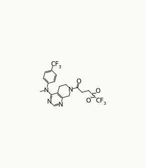 CN(c1ccc(C(F)(F)F)cc1)c1ncnc2c1CCN(C(=O)CCS(=O)(=O)C(F)(F)F)C2